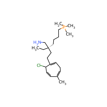 C=P(C)(C)CCCC[C@](CC)(CN)CCC1=CC/C=C(/C)C=CC1Cl